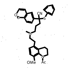 COc1ccc(CCN(C)CCCC(C#N)(Sc2ccccc2)c2ccc3c(c2)C=COO3)c2c1N(C(C)=O)CCC2